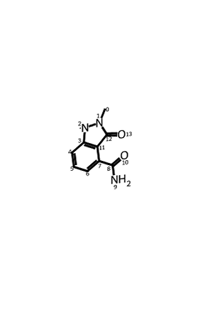 CN1[N]c2cccc(C(N)=O)c2C1=O